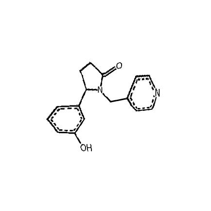 O=C1CCC(c2cccc(O)c2)N1Cc1ccncc1